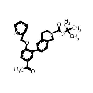 CC(=O)c1ccc(OCc2ccccn2)c(-c2ccc3c(c2)CCN(C(=O)OC(C)(C)C)C3)c1